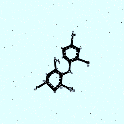 CC(=O)c1ccc(Oc2c(C)cc(F)cc2C)c(Br)c1